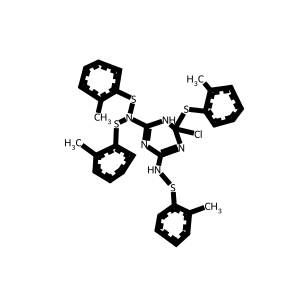 Cc1ccccc1SNC1=NC(Cl)(Sc2ccccc2C)NC(N(Sc2ccccc2C)Sc2ccccc2C)=N1